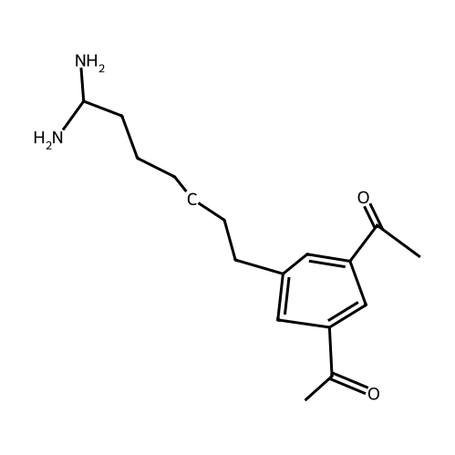 CC(=O)c1cc(CCCCCCC(N)N)cc(C(C)=O)c1